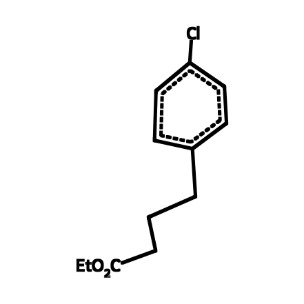 CCOC(=O)CCCc1ccc(Cl)cc1